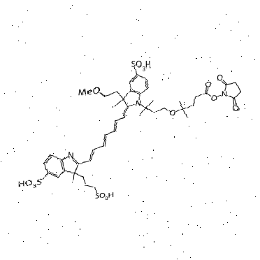 COCCC1(C)\C(=C/C=C/C=C/C=C/C2=Nc3ccc(S(=O)(=O)O)cc3C2(C)CCCS(=O)(=O)O)N(C(C)(C)CCOC(C)(C)CCC(=O)ON2C(=O)CCC2=O)c2ccc(S(=O)(=O)O)cc21